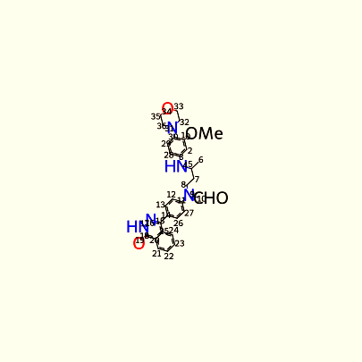 COc1cc(NC(C)CCN(C=O)c2ccc(-c3n[nH]c(=O)c4ccccc34)cc2)ccc1N1CCOCC1